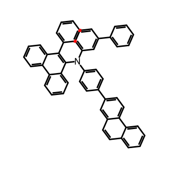 c1ccc(-c2cccc(N(c3ccc(-c4ccc5c(ccc6ccccc65)c4)cc3)c3c(-c4ccccc4)c4ccccc4c4ccccc34)c2)cc1